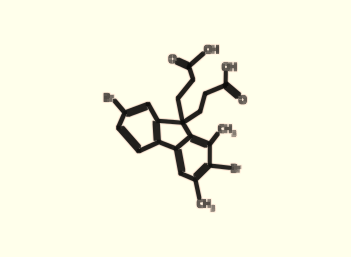 Cc1cc2c(c(C)c1Br)C(CCC(=O)O)(CCC(=O)O)c1cc(Br)ccc1-2